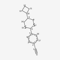 C#Cc1ccc(C2SCC(C3CCC3)CS2)cc1